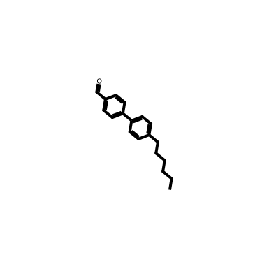 CCCCCCc1ccc(-c2ccc(C=O)cc2)cc1